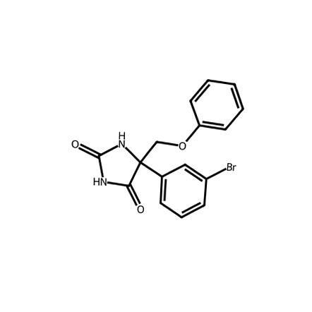 O=C1NC(=O)C(COc2ccccc2)(c2cccc(Br)c2)N1